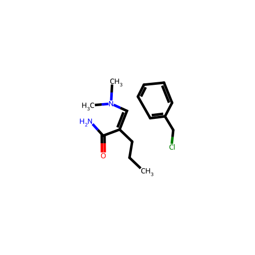 CCCC(=CN(C)C)C(N)=O.ClCc1ccccc1